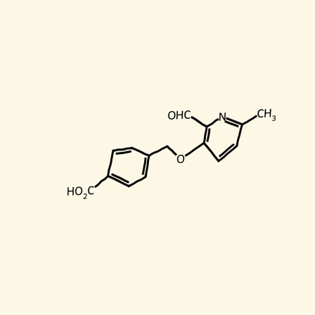 Cc1ccc(OCc2ccc(C(=O)O)cc2)c(C=O)n1